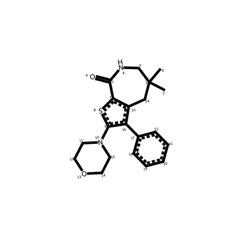 CC1(C)CNC(=O)c2sc(N3CCOCC3)c(-c3ccccc3)c2C1